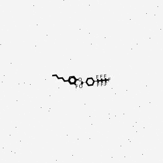 CCCCCc1ccc(OC(=O)[C@H]2CC[C@H](C(F)(F)C(F)(F)C(F)(F)F)CC2)c(F)c1